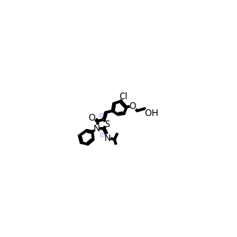 CC(C)/N=C1\S/C(=C\c2ccc(OCCO)c(Cl)c2)C(=O)N1c1ccccc1